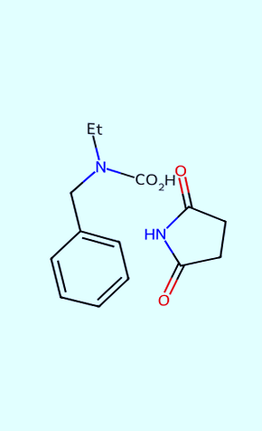 CCN(Cc1ccccc1)C(=O)O.O=C1CCC(=O)N1